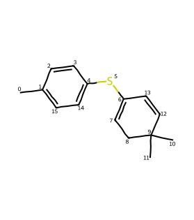 Cc1ccc(SC2=CCC(C)(C)C=C2)cc1